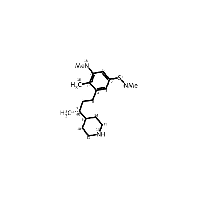 CNSc1cc(CC[C@@H](C)C2CCNCC2)c(C)c(NC)c1